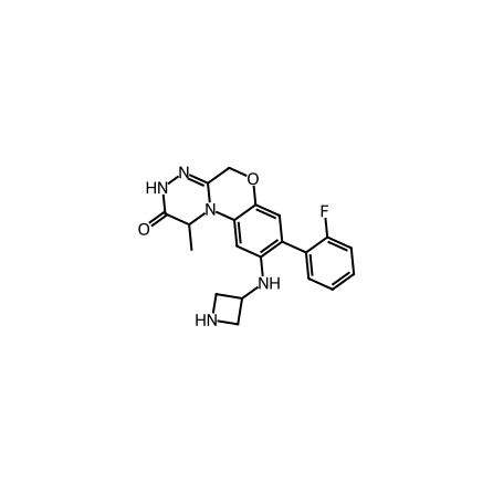 CC1C(=O)NN=C2COc3cc(-c4ccccc4F)c(NC4CNC4)cc3N21